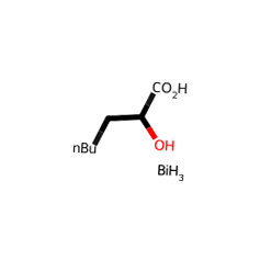 CCCCCC(O)C(=O)O.[BiH3]